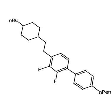 CCCCCc1ccc(-c2ccc(CCC3CCC(CCCC)CC3)c(F)c2F)cc1